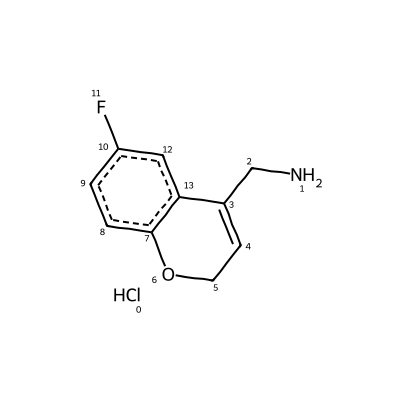 Cl.NCC1=CCOc2ccc(F)cc21